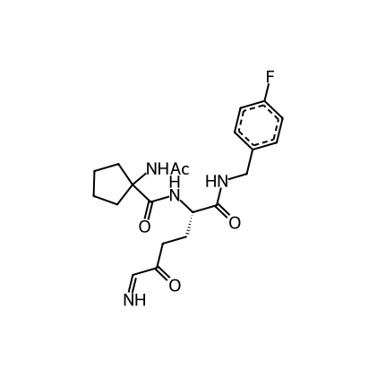 CC(=O)NC1(C(=O)N[C@@H](CCC(=O)C=N)C(=O)NCc2ccc(F)cc2)CCCC1